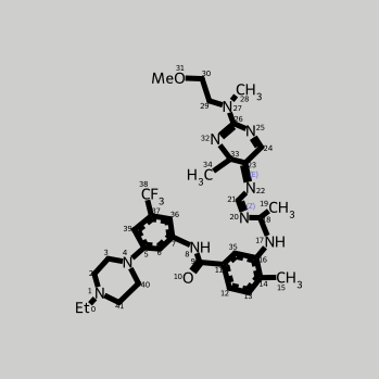 CCN1CCN(c2cc(NC(=O)c3ccc(C)c(NC(C)/N=C\N=C4\C=NC(N(C)CCOC)=NC4C)c3)cc(C(F)(F)F)c2)CC1